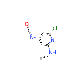 CCCNc1cc(N=C=O)cc(Cl)n1